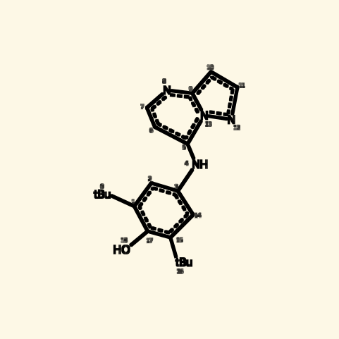 CC(C)(C)c1cc(Nc2ccnc3ccnn23)cc(C(C)(C)C)c1O